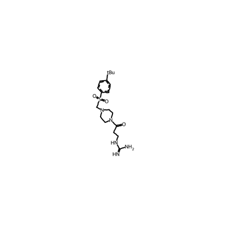 CC(C)(C)c1ccc(S(=O)(=O)CN2CCN(C(=O)CCNC(=N)N)CC2)cc1